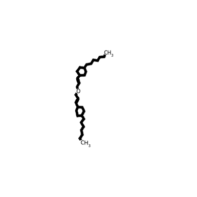 CCCCCCCC1CCC(C=CCOCC=CC2CCC(CCCCCCC)CC2)CC1